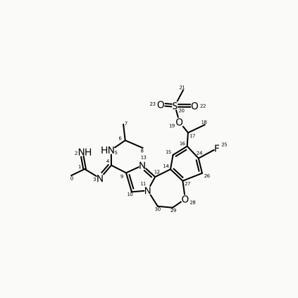 CC(=N)/N=C(\NC(C)C)c1cn2c(n1)-c1cc(C(C)OS(C)(=O)=O)c(F)cc1OCC2